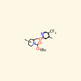 Cc1cc(OC[C@@H]2C[C@H](C)CCN2C(=O)OC(C)(C)C)ncc1C(F)(F)F